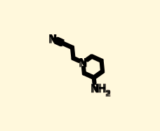 N#CCCN1CCCC(N)C1